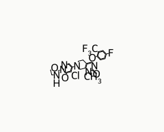 Cn1c2c(c(Oc3ccc(F)cc3C(F)(F)F)nc1=O)CCN(c1cnn(C3NCCO3)c(=O)c1Cl)C2